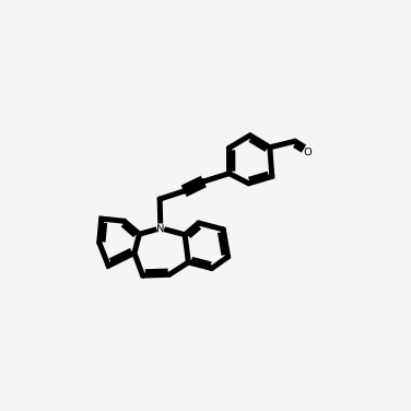 O=Cc1ccc(C#CCN2c3ccccc3C=Cc3ccccc32)cc1